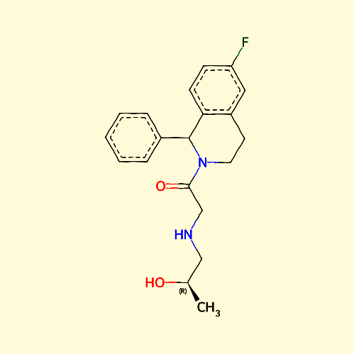 C[C@@H](O)CNCC(=O)N1CCc2cc(F)ccc2C1c1ccccc1